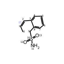 C/C=C\c1ccccc1CS(N)(=O)=O